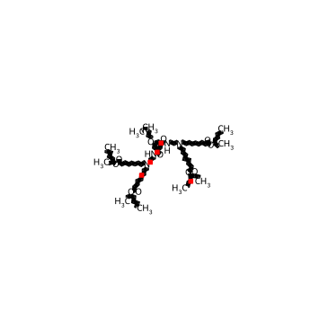 CCCCCC(CC)OC(=O)CCCCCCCCN(CCCCCCCCC(=O)OC(CC)CCCCC)CCCNC(=O)c1cc(OCCCN(C)C)cc(C(=O)NCCCN(CCCCCCCCC(=O)OC(CC)CCCCC)CCCCCCCCC(=O)OC(CC)CCCCC)c1